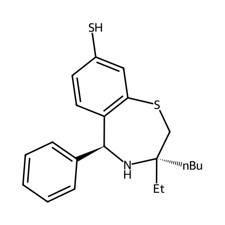 CCCC[C@@]1(CC)CSc2cc(S)ccc2[C@H](c2ccccc2)N1